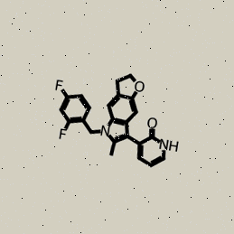 Cc1c(-c2ccc[nH]c2=O)c2cc3c(cc2n1Cc1ccc(F)cc1F)CCO3